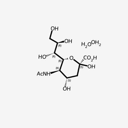 CC(=O)N[C@H]1[C@H]([C@H](O)[C@H](O)CO)O[C@](O)(C(=O)O)C[C@@H]1O.O.O